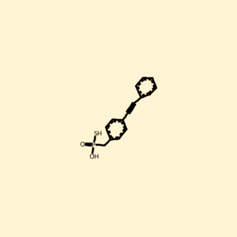 O=P(O)(S)Cc1ccc(C#Cc2ccccc2)cc1